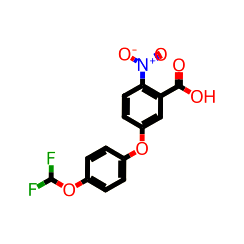 O=C(O)c1cc(Oc2ccc(OC(F)F)cc2)ccc1[N+](=O)[O-]